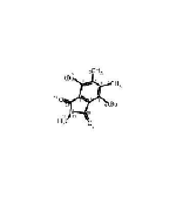 Cc1c(C)c(C(C)(C)C)c2c(c1C(C)(C)C)C(=O)N(C)C2=O